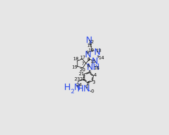 CNc1ccc(NC2(C3N=C(C#N)N=CN3C)CCCC2)cc1CN